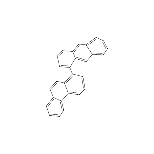 c1ccc2cc3c(-c4cccc5c4ccc4ccccc45)cccc3cc2c1